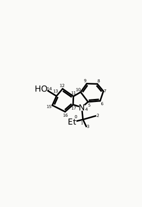 CCC(C)(C)n1c2ccccc2c2cc(O)ccc21